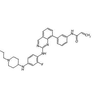 C=CC(=O)Nc1cccc(-c2cccc3cnc(Nc4ccc(NC5CCN(CCF)CC5)cc4F)nc23)c1